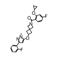 Cn1nc(-c2ccccc2F)cc1OC1CC2(C1)CN(C(=O)c1ccc(F)cc1OC1CC1)C2